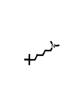 CN(C)CCCCCC(C)(C)C